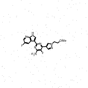 COCCn1cc(-c2nc(-c3c[nH]c4ncc(F)cc34)nc(N)c2F)cn1